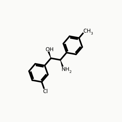 Cc1ccc([C@@H](N)[C@H](O)c2cccc(Cl)c2)cc1